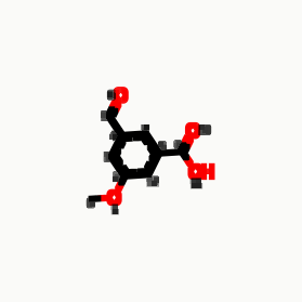 COc1cc(C=O)cc(C(=O)O)c1